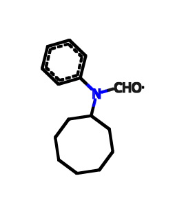 O=[C]N(c1ccccc1)C1CCCCCCC1